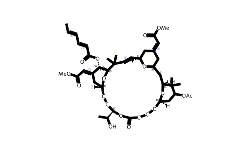 C/C=C/C=C/C(=O)O[C@H]1/C(=C/C(=O)OC)C[C@H]2CC[C@H](C(C)O)OC(=O)CCC[C@@H]3CC(OC(C)=O)C(C)(C)[C@](O)(C[C@@H]4C/C(=C/C(=O)OC)C[C@H](/C=C/C(C)(C)[C@]1(O)O2)O4)O3